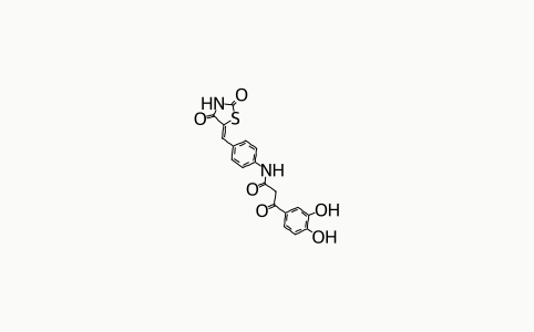 O=C(CC(=O)c1ccc(O)c(O)c1)Nc1ccc(/C=C2\SC(=O)NC2=O)cc1